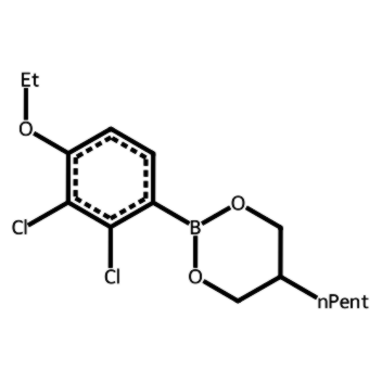 CCCCCC1COB(c2ccc(OCC)c(Cl)c2Cl)OC1